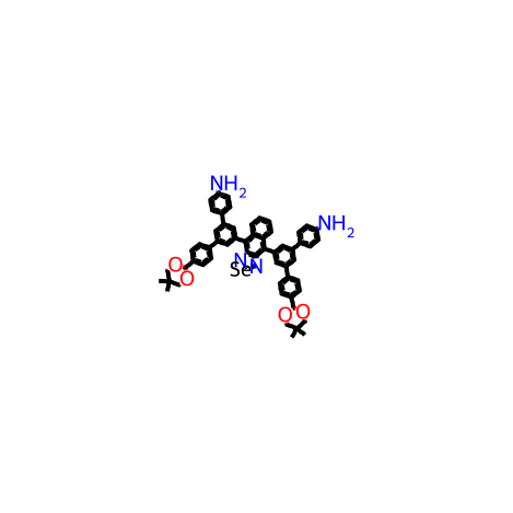 CC1(C)COC(c2ccc(-c3cc(-c4ccc(N)cc4)cc(-c4c5ccccc5c(-c5cc(-c6ccc(N)cc6)cc(-c6ccc(C7OCC(C)(C)CO7)cc6)c5)c5n[se]nc45)c3)cc2)OC1